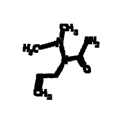 C=CCN(C(N)=O)N(C)C